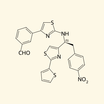 O=Cc1cccc(-c2csc(N[C@@H](Cc3ccc([N+](=O)[O-])cc3)c3csc(-c4cccs4)n3)n2)c1